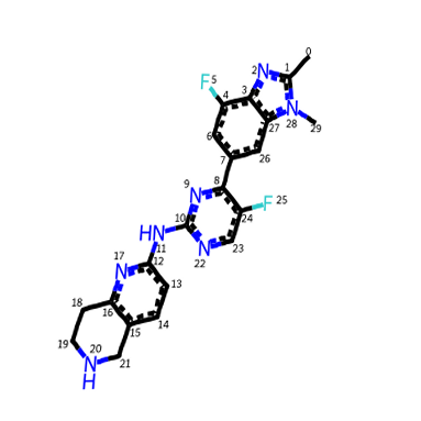 Cc1nc2c(F)cc(-c3nc(Nc4ccc5c(n4)CCNC5)ncc3F)cc2n1C